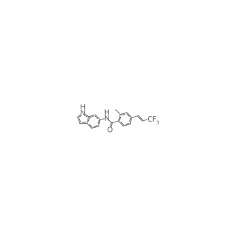 Cc1cc(/C=C/C(F)(F)F)ccc1C(=O)Nc1ccc2cc[nH]c2c1